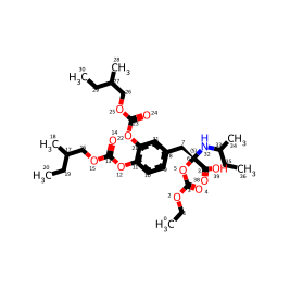 CCOC(=O)O[C@](Cc1ccc(OC(=O)OCC(C)CC)c(OC(=O)OCC(C)CC)c1)(NC(C)CC)C(=O)O